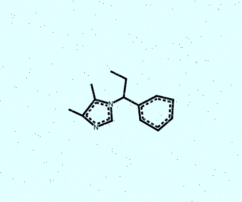 CCC(c1ccccc1)n1[c]nc(C)c1C